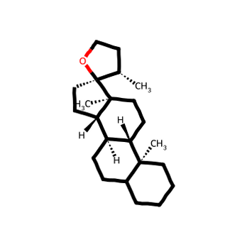 C[C@H]1CCO[C@@]12CC[C@H]1[C@@H]3CCC4CCCC[C@]4(C)[C@H]3CC[C@@]12C